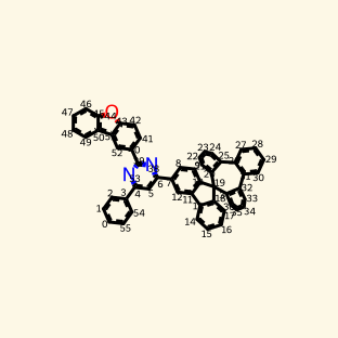 c1ccc(-c2cc(-c3ccc4c(c3)-c3ccccc3C43c4ccccc4-c4ccccc4-c4ccccc43)nc(-c3ccc4oc5ccccc5c4c3)n2)cc1